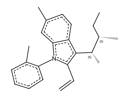 C=Cc1c([C@@H](C)[C@@H](C)CC)c2ccc(C)cc2n1-c1ccccc1C